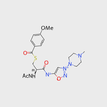 COc1ccc(C(=O)SC[C@H](NC(C)=O)C(=O)[N-]c2c[n+](N3CCN(C)CC3)no2)cc1